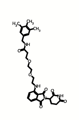 Cc1cc(CNC(=O)CCOCCOCCNc2cccc3c2C(=O)N(C2CCC(=O)NC2=O)C3=O)cc(C)c1C